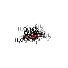 CCCCC1=CC=C(C(C)(C)C)C(OB(OC2C(C(C)(C)C)=CC=C(CCCC)C2(CCCC)C(C)(C)C)OC2C(C(C)(C)C)=CC=C(CCCC)C2(CCCC)C(C)(C)C)C1(CCCC)C(C)(C)C